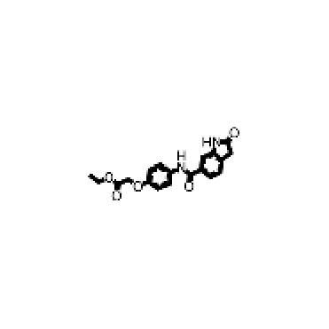 CCOC(=O)COc1ccc(NC(=O)c2ccc3c(c2)NC(=O)C3)cc1